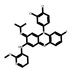 COC1=C(Nc2cc3nc4ccc(F)cc4n(-c4ccc(Cl)c(Cl)c4)c-3c/c2=N\C(C)C)CCC=N1